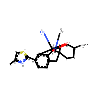 COC1CCC2(CC1)Cc1ccc(-c3nc(C)cs3)cc1C21N=C(N)N(C(C)C)C1=O